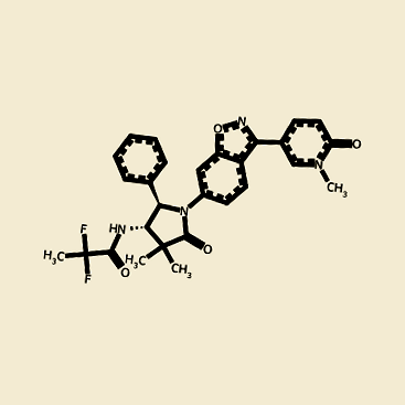 Cn1cc(-c2noc3cc(N4C(=O)C(C)(C)[C@H](NC(=O)C(C)(F)F)[C@H]4c4ccccc4)ccc23)ccc1=O